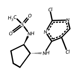 CS(=O)(=O)N[C@@H]1CCC[C@H]1Nc1nc(Cl)ncc1Cl